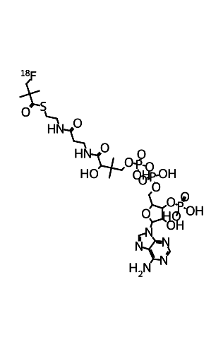 CC(C)(C[18F])C(=O)SCCNC(=O)CCNC(=O)C(O)C(C)(C)COP(=O)(O)OP(=O)(O)OCC1OC(n2cnc3c(N)ncnc32)C(O)C1OP(=O)(O)O